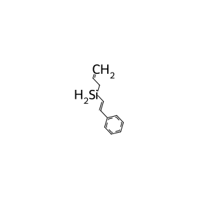 C=CC[SiH2]C=Cc1ccccc1